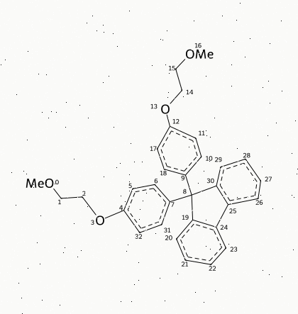 COCCOc1ccc(C2(c3ccc(OCCOC)cc3)c3ccccc3-c3ccccc32)cc1